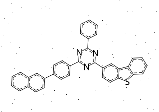 c1ccc(-c2nc(-c3ccc(-c4ccc5ccccc5c4)cc3)nc(-c3ccc4sc5ccccc5c4c3)n2)cc1